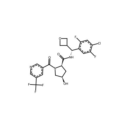 O=C(N[C@@H](c1cc(F)c(Cl)cc1F)C1COC1)[C@H]1C[C@@H](O)CN1C(=O)c1cncc(C(F)(F)F)c1